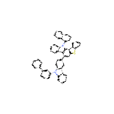 c1ccc(-c2cccc(-n3c4ccccc4c4cc(-c5cc6sc7ccccc7c6c6c5c5ccccc5n6-c5cccc6ccccc56)ccc43)c2)cc1